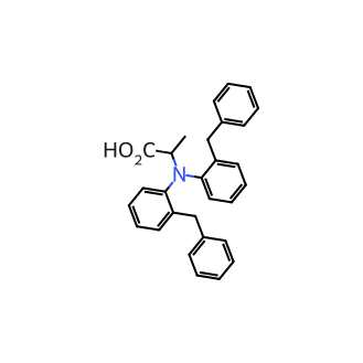 CC(C(=O)O)N(c1ccccc1Cc1ccccc1)c1ccccc1Cc1ccccc1